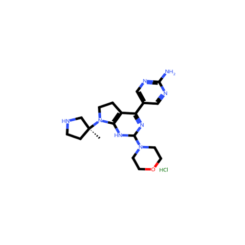 C[C@]1(N2CCC3=C2NC(N2CCOCC2)N=C3c2cnc(N)nc2)CCNC1.Cl